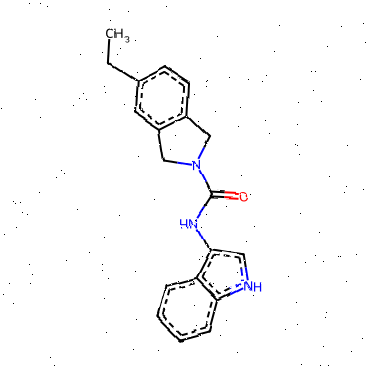 CCc1ccc2c(c1)CN(C(=O)Nc1c[nH]c3ccccc13)C2